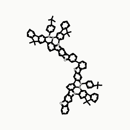 CC(C)(C)c1ccc(N2B3c4cc5c(cc4-n4c6cc7c(cc6c6ccc(c3c64)-c3cc4sc6c(-c8ccc9c(c8)oc8cc%10c%11ccc%12c%13c%11n(c%10cc89)-c8cc9c(cc8B%13N(c8ccc(C(C)(C)C)cc8)c8cc%10c(cc8-%12)C(C)(C)c8ccccc8-%10)-c8ccccc8C9(C)C)cccc6c4cc32)oc2ccccc27)C(C)(C)c2ccccc2-5)cc1